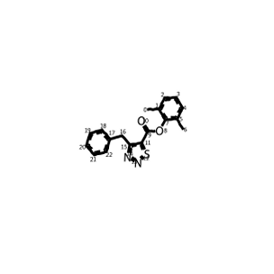 Cc1cccc(C)c1OC(=O)c1snnc1Cc1ccccc1